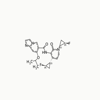 CC(C)Oc1cc2nccn2cc1C(=O)Nc1c([C@@H]2C[C@H]2F)ccn([C@H]2C[C@H]2F)c1=O